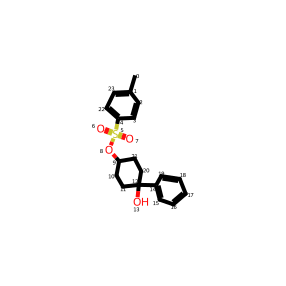 Cc1ccc(S(=O)(=O)OC2CCC(O)(c3ccccc3)CC2)cc1